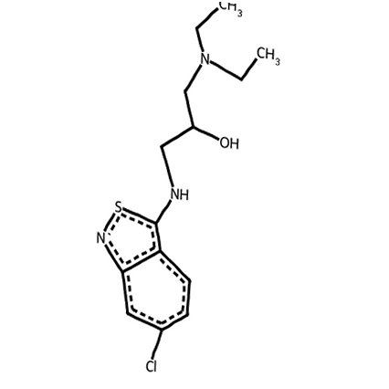 CCN(CC)CC(O)CNc1snc2cc(Cl)ccc12